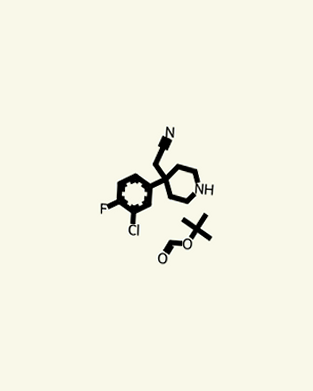 CC(C)(C)OC=O.N#CCC1(c2ccc(F)c(Cl)c2)CCNCC1